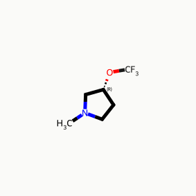 CN1CC[C@@H](OC(F)(F)F)C1